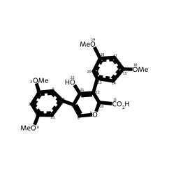 COc1cc(OC)cc(C2=COC(C(=O)O)C(c3cc(OC)cc(OC)c3)=C2O)c1